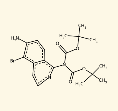 CC(C)(C)OC(=O)N(C(=O)OC(C)(C)C)c1nccc2c(Br)c(N)ccc12